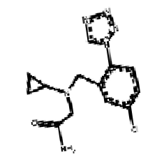 NC(=O)CN(Cc1cc(Cl)ccc1-n1cnnn1)C1CC1